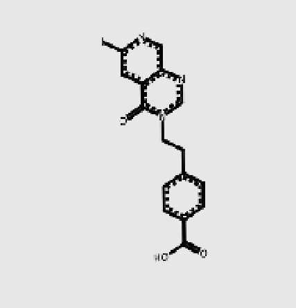 O=C(O)c1ccc(CCn2cnc3cnc(I)cc3c2=O)cc1